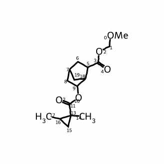 COCOC(=O)C1CC2CC(OC(=O)C3(C)CC3C)C1C2